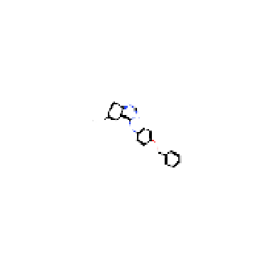 COc1ccc2ncnc(Nc3ccc(OCc4ccccc4)cc3)c2c1